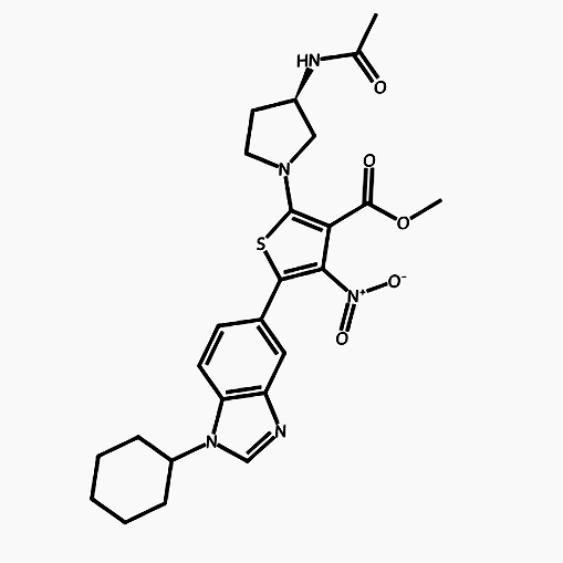 COC(=O)c1c(N2CC[C@@H](NC(C)=O)C2)sc(-c2ccc3c(c2)ncn3C2CCCCC2)c1[N+](=O)[O-]